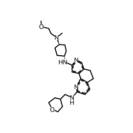 COCCN(C)[C@H]1CC[C@H](Nc2cc3c(cn2)CCc2ccc(NCC4CCOCC4)nc2-3)CC1